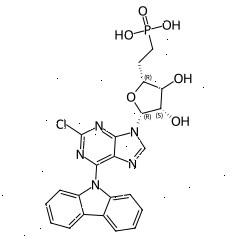 O=P(O)(O)CC[C@H]1O[C@@H](n2cnc3c(-n4c5ccccc5c5ccccc54)nc(Cl)nc32)[C@@H](O)C1O